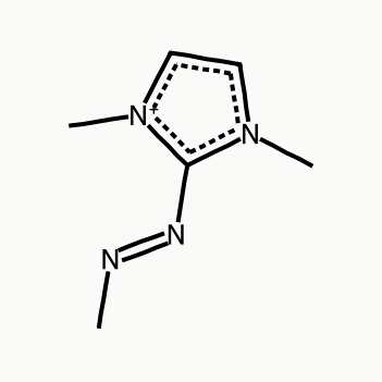 C/N=N/c1n(C)cc[n+]1C